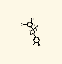 Cc1cc(C2=NSC(c3cc(Cl)cc(Cl)c3)(C(F)(F)F)C2)ccc1Br